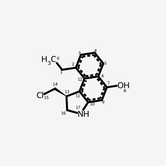 CCc1cccc2c(O)cc3c(c12)[C@H](CCl)CN3